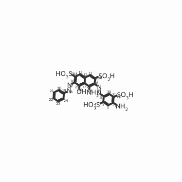 Nc1cc(S(=O)(=O)O)c(N=Nc2c(S(=O)(=O)O)cc3cc(S(=O)(=O)O)c(N=Nc4ccccc4)c(O)c3c2N)cc1S(=O)(=O)O